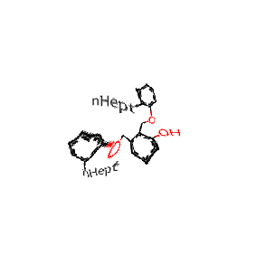 CCCCCCCc1ccccc1OCc1cccc(O)c1COc1ccccc1CCCCCCC